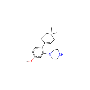 COc1ccc(C2=CCC(C)(C)CC2)c(N2CCNCC2)c1